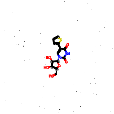 O=c1[nH]c(=O)n([C@@H]2O[C@H](CO)[C@@H](O)[C@H]2O)cc1-c1cccs1